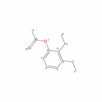 CCc1[c]ccc(OC(C)=O)c1CC